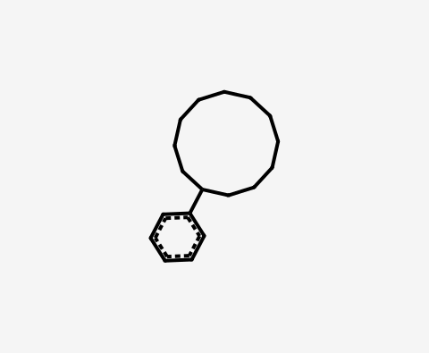 c1ccc(C2CCCCCCCCCCC2)cc1